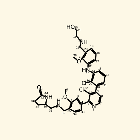 COc1cc(-c2nccc(-c3cccc(Nc4cccc(CNCCO)c4OC)c3Cl)c2Cl)ccc1CNCC1CCC(=O)N1